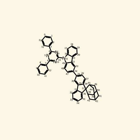 c1ccc(-c2nc(-c3ccccc3)nc(-n3c4ccccc4c4cc(-c5ccc6c(c5)-c5ccccc5C65C6CC7CC(C6)CC5C7)ccc43)n2)cc1